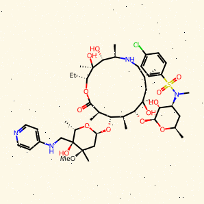 CC[C@H]1OC(=O)[C@H](C)[C@@H](O[C@H]2C[C@@](C)(OC)[C@](O)(CNc3ccncc3)[C@H](C)O2)[C@H](C)[C@@H](O[C@@H]2O[C@H](C)C[C@H](N(C)S(=O)(=O)c3ccc(Cl)cc3)[C@H]2O)[C@](C)(O)C[C@@H](C)CN[C@H](C)[C@@H](O)[C@]1(C)O